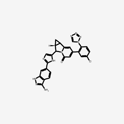 Nc1n[nH]c2cc(-c3ncc(C4[C@@H]5CC5c5cc(-c6cc(Cl)ccc6-n6cnnn6)cc(=O)n54)[nH]3)ccc12